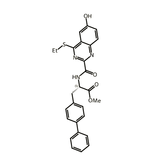 CCSc1nc(C(=O)N[C@@H](Cc2ccc(-c3ccccc3)cc2)C(=O)OC)nc2ccc(O)cc12